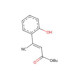 CC(C)COC(=O)C=C(C#N)c1ccccc1O